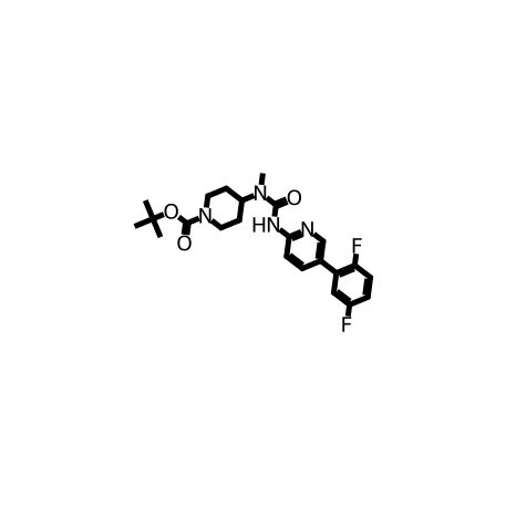 CN(C(=O)Nc1ccc(-c2cc(F)ccc2F)cn1)C1CCN(C(=O)OC(C)(C)C)CC1